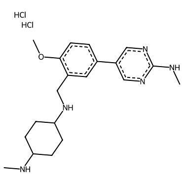 CNc1ncc(-c2ccc(OC)c(CNC3CCC(NC)CC3)c2)cn1.Cl.Cl